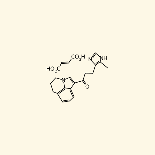 Cc1[nH]cnc1CCC(=O)c1cn2c3c(cccc13)CCC2.O=C(O)C=CC(=O)O